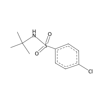 CC(C)(C)NS(=O)(=O)c1ccc(Cl)cc1